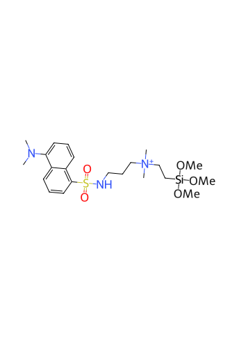 CO[Si](CC[N+](C)(C)CCCNS(=O)(=O)c1cccc2c(N(C)C)cccc12)(OC)OC